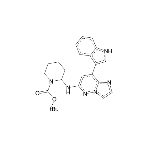 CC(C)(C)OC(=O)N1CCCCC1Nc1cc(-c2c[nH]c3ccccc23)c2nccn2n1